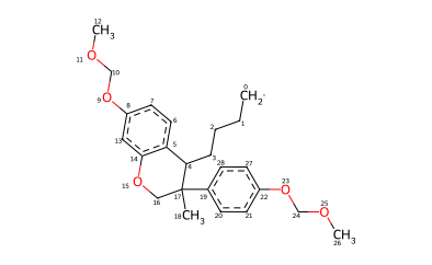 [CH2]CCCC1c2ccc(OCOC)cc2OCC1(C)c1ccc(OCOC)cc1